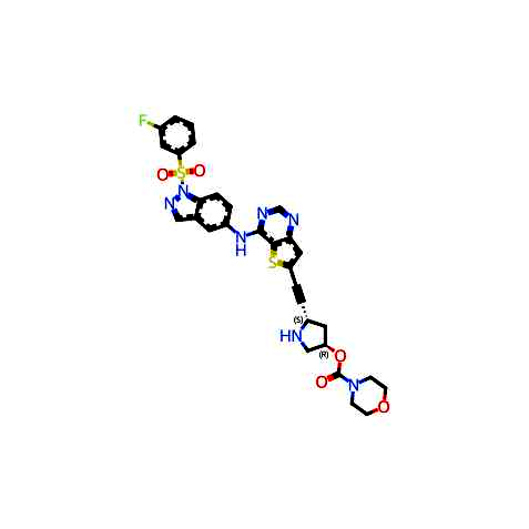 O=C(O[C@H]1CN[C@H](C#Cc2cc3ncnc(Nc4ccc5c(cnn5S(=O)(=O)c5cccc(F)c5)c4)c3s2)C1)N1CCOCC1